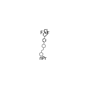 CCCC1CCC(CCC2CCC(c3ccc(-c4cc(F)c(Cl)c(F)c4)cc3)CC2)CC1